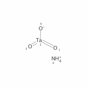 [NH4+].[O]=[Ta](=[O])[O-]